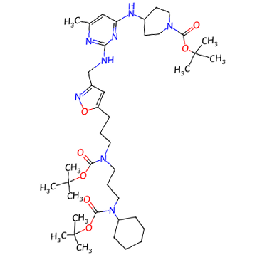 Cc1cc(NC2CCN(C(=O)OC(C)(C)C)CC2)nc(NCc2cc(CCCN(CCCN(C(=O)OC(C)(C)C)C3CCCCC3)C(=O)OC(C)(C)C)on2)n1